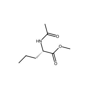 CCC[C@H](NC(C)=O)C(=O)OC